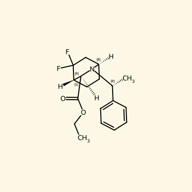 CCOC(=O)[C@H]1[C@@H]2CC[C@H](CC2(F)F)N1[C@H](C)c1ccccc1